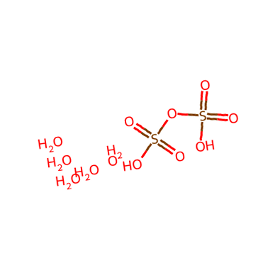 O.O.O.O.O.O=S(=O)(O)OS(=O)(=O)O